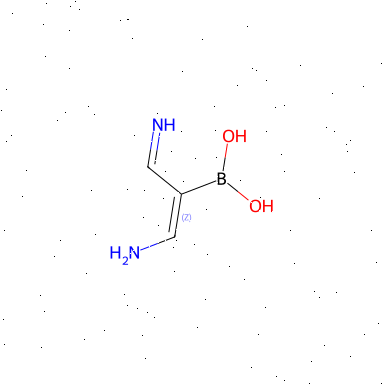 N=C/C(=C\N)B(O)O